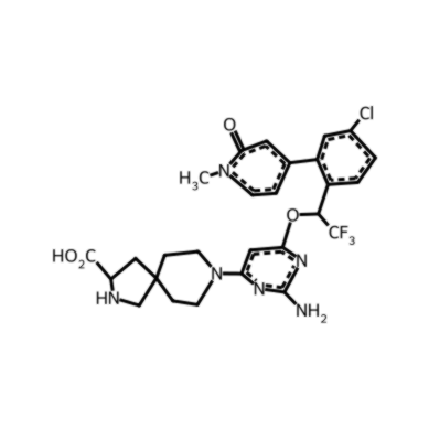 Cn1ccc(-c2cc(Cl)ccc2C(Oc2cc(N3CCC4(CC3)CNC(C(=O)O)C4)nc(N)n2)C(F)(F)F)cc1=O